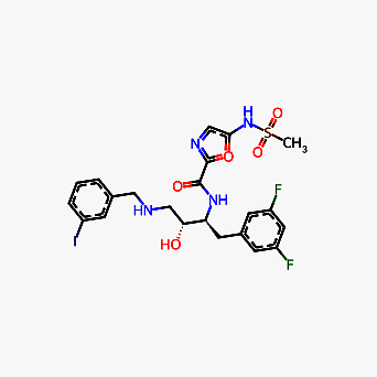 CS(=O)(=O)Nc1cnc(C(=O)N[C@@H](Cc2cc(F)cc(F)c2)[C@H](O)CNCc2cccc(I)c2)o1